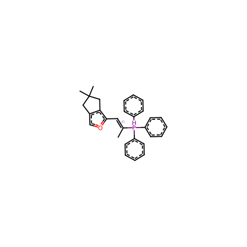 C/C(=C\c1occ2c1CC(C)(C)C2)[PH](c1ccccc1)(c1ccccc1)c1ccccc1